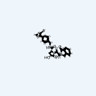 CC(C)C(C(=O)N1C[C@H](O)C[C@H]1C(=O)NCc1ccc(-c2scnc2Br)cc1)N1Cc2ccccc2C1=O